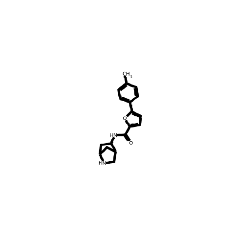 Cc1ccc(-c2ccc(C(=O)NC3CC4CC3CN4)o2)cc1